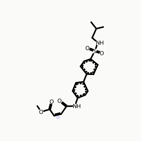 COC(=O)/C=C\C(=O)Nc1ccc(-c2ccc(S(=O)(=O)NCC(C)C)cc2)cc1